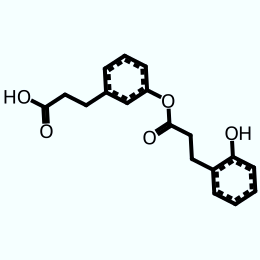 O=C(O)CCc1cccc(OC(=O)CCc2ccccc2O)c1